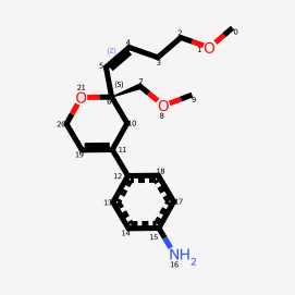 COCC/C=C\[C@]1(COC)CC(c2ccc(N)cc2)=CCO1